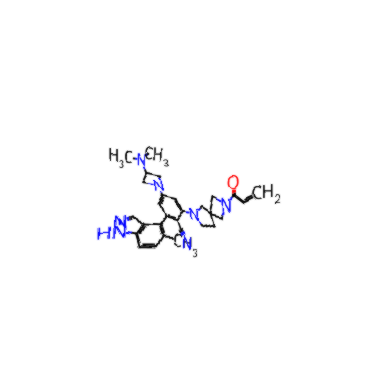 C=CC(=O)N1CC2(CCN(c3cc(N4CC(N(C)C)C4)cc(-c4c(C)ccc5[nH]ncc45)c3C#N)C2)C1